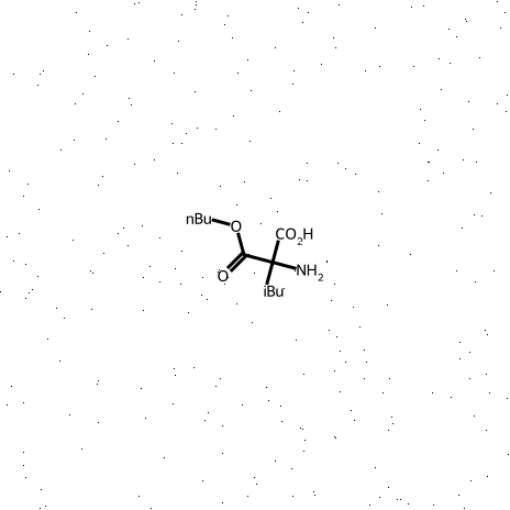 CCCCOC(=O)C(N)(C(=O)O)C(C)CC